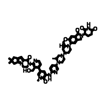 C[C@H]1CN([C@@H]2CCN3c4cc5c(cc4OC[C@@H]3C2)C(=O)N(C2CCC(=O)NC2=O)C5)CCN1c1ccc(Nc2cc(-c3ccnc(N4CCn5c(cc6c5CC(C)(C)C6)C4=O)c3CO)cn(C)c2=O)nc1